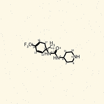 C[C@@]1(NC(=O)NC2CCNCC2)C=CC(C(F)(F)F)=CC1